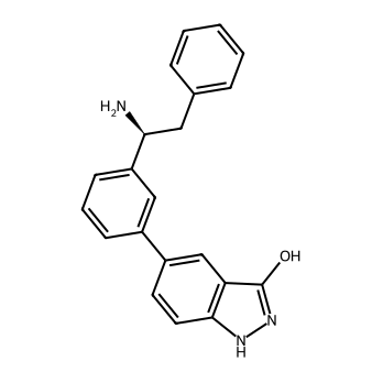 N[C@@H](Cc1ccccc1)c1cccc(-c2ccc3[nH]nc(O)c3c2)c1